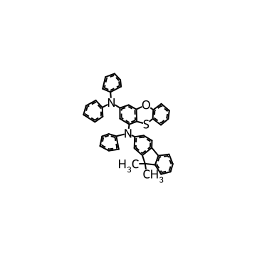 CC1(C)c2ccccc2-c2ccc(N(c3ccccc3)c3cc(N(c4ccccc4)c4ccccc4)cc4c3Sc3ccccc3O4)cc21